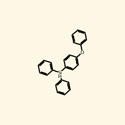 c1ccc(Oc2ccc([SiH](c3ccccc3)c3ccccc3)cc2)cc1